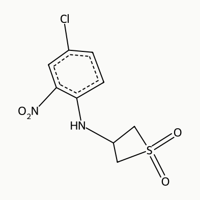 O=[N+]([O-])c1cc(Cl)ccc1NC1CS(=O)(=O)C1